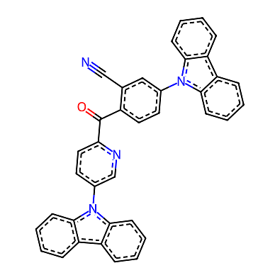 N#Cc1cc(-n2c3ccccc3c3ccccc32)ccc1C(=O)c1ccc(-n2c3ccccc3c3ccccc32)cn1